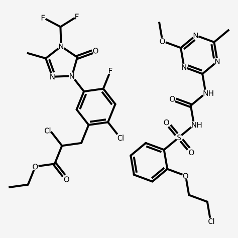 CCOC(=O)C(Cl)Cc1cc(-n2nc(C)n(C(F)F)c2=O)c(F)cc1Cl.COc1nc(C)nc(NC(=O)NS(=O)(=O)c2ccccc2OCCCl)n1